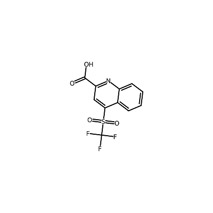 O=C(O)c1cc(S(=O)(=O)C(F)(F)F)c2ccccc2n1